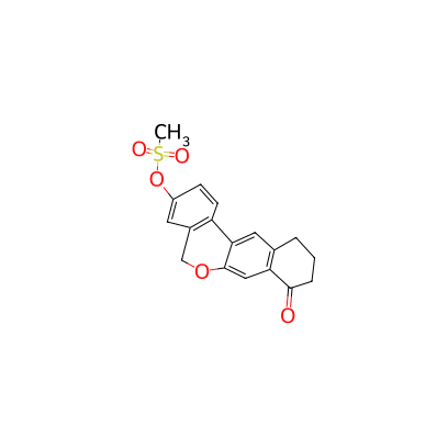 CS(=O)(=O)Oc1ccc2c(c1)COc1cc3c(cc1-2)CCCC3=O